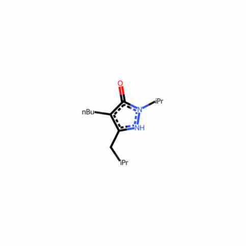 CCCCc1c(CC(C)C)[nH]n(C(C)C)c1=O